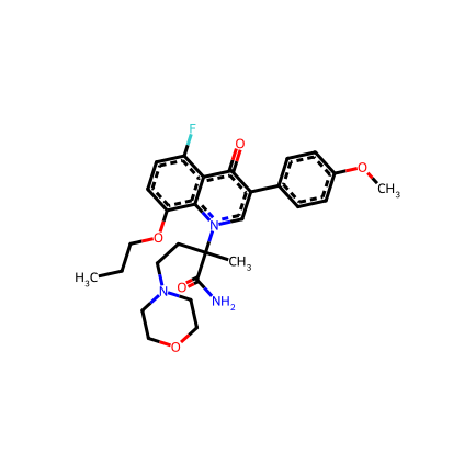 CCCOc1ccc(F)c2c(=O)c(-c3ccc(OC)cc3)cn(C(C)(CCN3CCOCC3)C(N)=O)c12